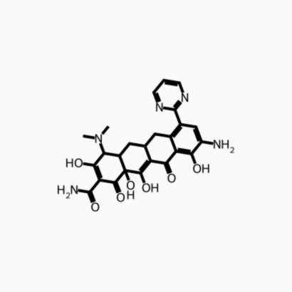 CN(C)C1C(O)=C(C(N)=O)C(=O)C2(O)C(O)=C3C(=O)c4c(O)c(N)cc(-c5ncccn5)c4CC3CC12